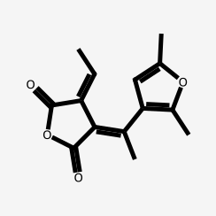 C/C=C1\C(=O)OC(=O)C1=C(C)c1cc(C)oc1C